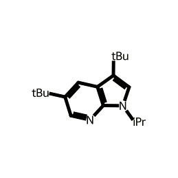 CC(C)n1cc(C(C)(C)C)c2cc(C(C)(C)C)cnc21